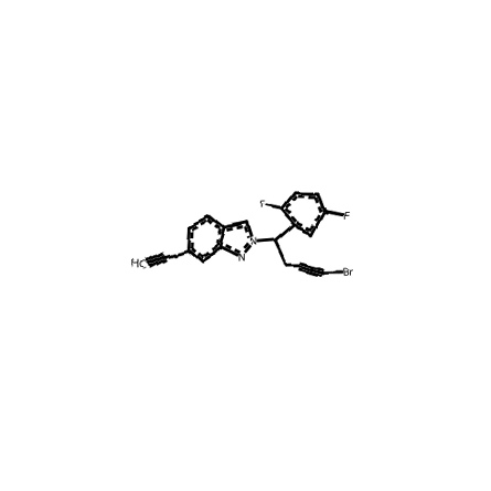 C#Cc1ccc2cn(C(CC#CBr)c3cc(F)ccc3F)nc2c1